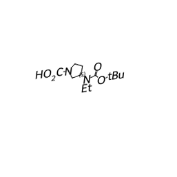 CCN(C(=O)OC(C)(C)C)[C@H]1CCN(C(=O)O)C1